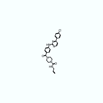 C=CCNC(=O)N1CCN(C(=O)c2ccc(Nc3nccc(-c4ccc(Cl)cc4)n3)cc2)CC1